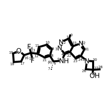 Cc1nnc(N[C@H](C)c2cccc(C(F)(F)C3CCCO3)c2)c2cc(N3CC(C)(O)C3)cnc12